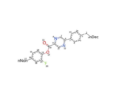 CCCCCCCCCCCc1ccc(-c2cnc(C(=O)Oc3ccc(CCCCCCCCC)cc3F)cn2)cc1